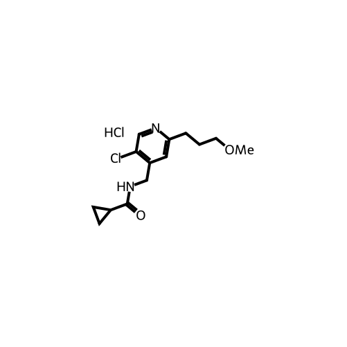 COCCCc1cc(CNC(=O)C2CC2)c(Cl)cn1.Cl